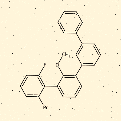 COc1c(-c2cccc(-c3ccccc3)c2)cccc1-c1c(F)cccc1Br